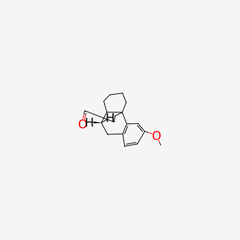 COc1ccc2c(c1)C13CCCC[C@H]1[C@@H](C2)C(C=O)CC3